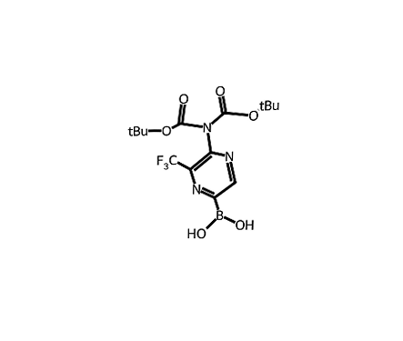 CC(C)(C)OC(=O)N(C(=O)OC(C)(C)C)c1ncc(B(O)O)nc1C(F)(F)F